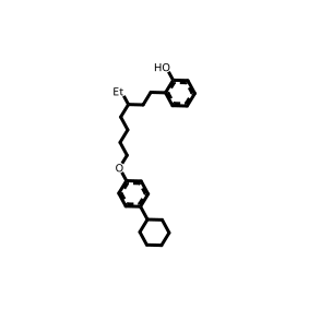 CCC(CCCCOc1ccc(C2CCCCC2)cc1)CCc1ccccc1O